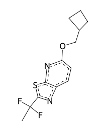 CC(F)(F)c1nc2ccc(OCC3CCC3)nc2s1